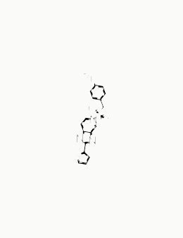 O=S(=O)(Cc1ccc(Br)cc1)n1ccc2nc(-c3cccs3)nc-2c1